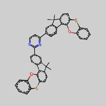 CC1(C)c2cc(-c3ccnc(-c4ccc5c(c4)C(C)(C)c4ccc6c(c4-5)Oc4ccccc4S6)n3)ccc2-c2c1ccc1c2Oc2ccccc2S1